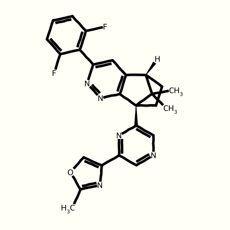 Cc1nc(-c2cncc([C@@]34CC[C@@H](c5cc(-c6c(F)cccc6F)nnc53)C4(C)C)n2)co1